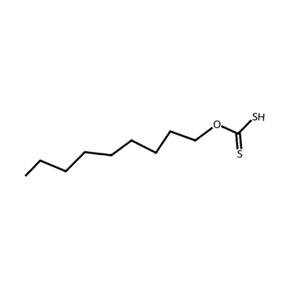 CCCCCCCCCOC(=S)S